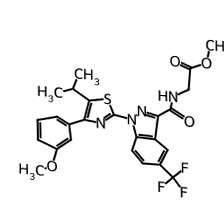 COC(=O)CNC(=O)c1nn(-c2nc(-c3cccc(OC)c3)c(C(C)C)s2)c2ccc(C(F)(F)F)cc12